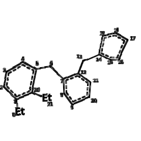 CCc1cccc(Cc2ccccc2Cc2ccccc2)c1CC